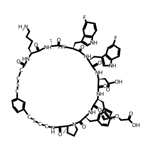 C[C@H]1NC(=O)[C@H](CCCCN)NC(=O)CCSCc2cccc(c2)CSCCNC(=O)[C@]2(C)CCCN2C(=O)[C@H](Cc2ccc(OCC(=O)O)cc2)NC(=O)[C@H](Cc2c[nH]cn2)NC(=O)[C@H](CC(=O)O)NC(=O)[C@H](Cc2c[nH]c3ccc(F)cc23)NC(=O)[C@H](Cc2c[nH]c3ccc(F)cc23)NC1=O